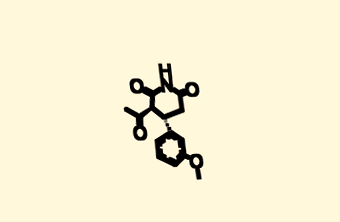 COc1cccc([C@H]2CC(=O)NC(=O)[C@@H]2C(C)=O)c1